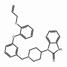 C=CCOc1ccccc1Oc1cccc(CN2CCC(n3c(=O)[nH]c4ccccc43)CC2)c1